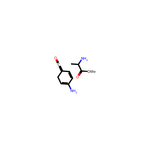 COC(=O)C(C)N.NC1=CCC(=C=O)C=C1